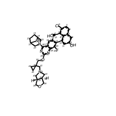 C#Cc1c(Cl)ccc2cc(O)cc(-c3c(F)cc4c(N5CC6CCC(C5)N6)nc(OCC5(CN6C[C@H]7COC[C@@H]7C6)CC5)nc4c3F)c12